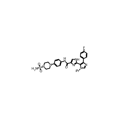 CC(C)n1cnc(-c2ccc(F)cc2)c1-c1nc(C(=O)Nc2ccc(N3CCN(S(N)(=O)=O)CC3)cc2)c[nH]1